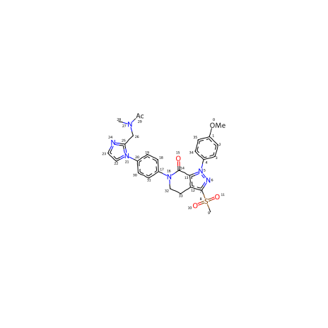 COc1ccc(-n2nc(S(C)(=O)=O)c3c2C(=O)N(c2ccc(-n4ccnc4CN(C)C(C)=O)cc2)CC3)cc1